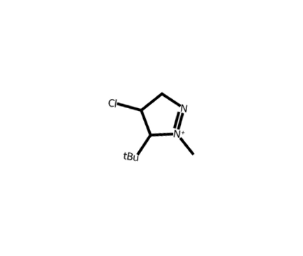 C[N+]1=NCC(Cl)C1C(C)(C)C